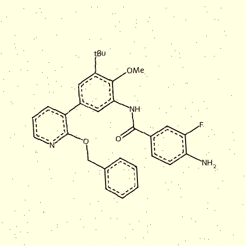 COc1c(NC(=O)c2ccc(N)c(F)c2)cc(-c2cccnc2OCc2ccccc2)cc1C(C)(C)C